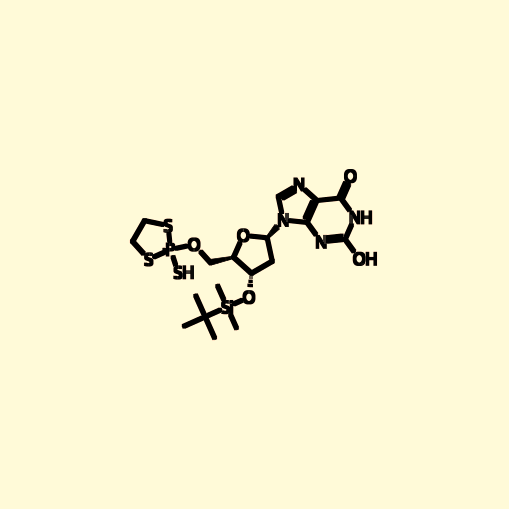 CC(C)(C)[Si](C)(C)O[C@H]1C[C@H](n2cnc3c(=O)[nH]c(O)nc32)O[C@@H]1CO[P]1(S)SCCS1